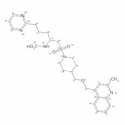 Cc1cc(COCC2CCN(S(=O)(=O)CC(CCCc3ncccn3)NC(=O)O)CC2)c2ccccc2n1